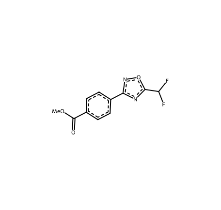 COC(=O)c1ccc(-c2noc(C(F)F)n2)cc1